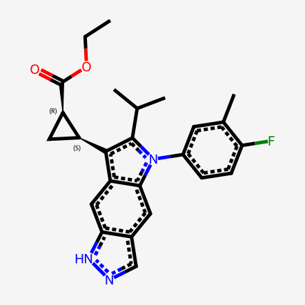 CCOC(=O)[C@@H]1C[C@@H]1c1c(C(C)C)n(-c2ccc(F)c(C)c2)c2cc3cn[nH]c3cc12